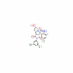 O=C1C2C3C[C@H](O)CN3C3(C(=O)Nc4c(F)cc(Cl)cc43)C2C(=O)N1c1cc(Cl)cc(Cl)c1